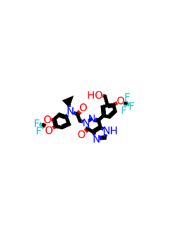 O=C(Cn1nc(-c2ccc(OC(F)(F)F)c(CO)c2)c2[nH]cnc2c1=O)N(c1ccc2c(c1)OC(F)(F)O2)C1CC1